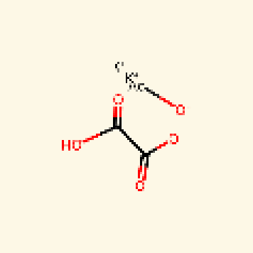 CC(=O)[O-].O=C([O-])C(=O)O.[K+].[K+]